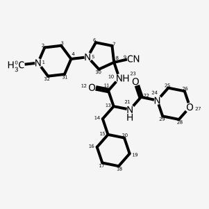 CN1CCC(N2CCC(C#N)(NC(=O)C(CC3CCCCC3)NC(=O)N3CCOCC3)C2)CC1